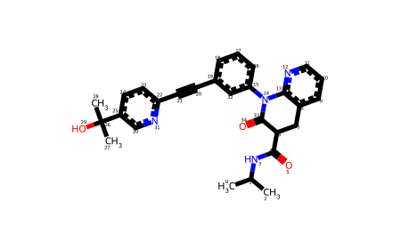 CC(C)NC(=O)C1Cc2cccnc2N(c2cccc(C#Cc3ccc(C(C)(C)O)cn3)c2)C1=O